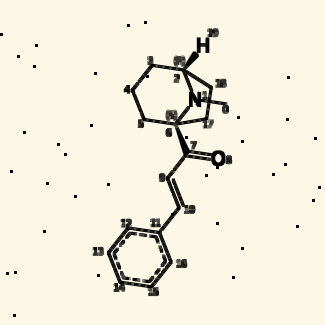 CN1[C@@H]2CCC[C@@]1(C(=O)C=Cc1ccccc1)CC2